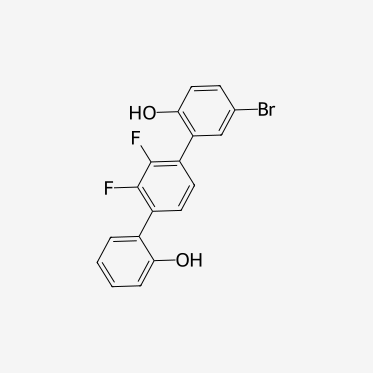 Oc1ccccc1-c1ccc(-c2cc(Br)ccc2O)c(F)c1F